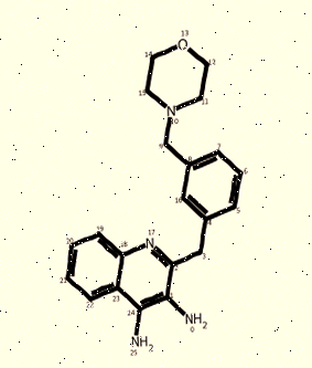 Nc1c(Cc2cccc(CN3CCOCC3)c2)nc2ccccc2c1N